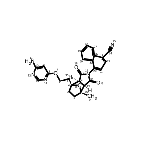 C[C@@]12CC[C@@](CCOc3cc(N)ncn3)(O1)[C@H]1C(=O)N(c3ccc(C#N)c4ccccc34)C(=O)[C@H]12